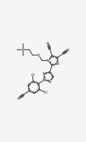 C[Si](C)(C)CCOCn1c(-c2cnn(-c3c(Cl)cc(C#N)cc3Cl)n2)nc(C#N)c1C#N